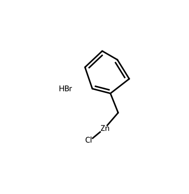 Br.[Cl][Zn][CH2]c1ccccc1